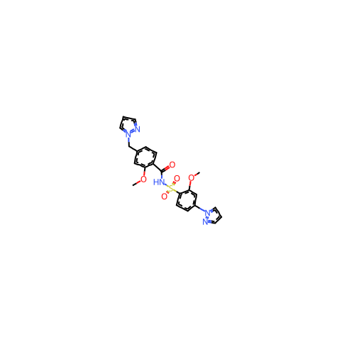 COc1cc(Cn2cccn2)ccc1C(=O)NS(=O)(=O)c1ccc(-n2cccn2)cc1OC